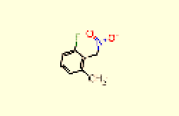 [CH2]c1cccc(F)c1C[N+](=O)[O-]